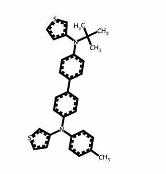 Cc1ccc(N(c2ccc(-c3ccc(N(c4ccsc4)C(C)(C)C)cc3)cc2)c2ccsc2)cc1